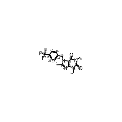 Cc1nc2c(c(=O)n(C)c(=O)n2C)n1Cc1ccc(C(F)(F)F)cc1